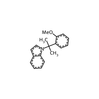 COc1ccccc1C(C)(C)n1ccc2ccccc21